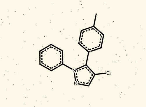 Cc1ccc(-c2c(Cl)[c]nn2-c2ccccc2)cc1